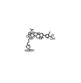 C=C(C)[C@@H]1CC[C@]2(C(=O)NCCCN3CCS(O)(O)CC3)CC[C@]3(C)[C@H](CC[C@@H]4[C@@]5(C)CC=C(c6ccc(C(=O)O)c(F)c6)C(C)(C)[C@@H]5CC[C@]43C)[C@@H]12